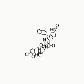 C#CCN(C(=O)NCc1ccc(Cl)c(Cl)c1)N1CC(=O)N2[C@@H](Cc3ccc(NC=O)cc3)C(=O)N(Cc3cccc4ccccc34)C[C@@H]21